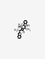 C/C(=C1/C(=O)C(C(/C)=C2/Nc3ccccc3C2(C)C)=C1O)c1cc2ccccc2s1